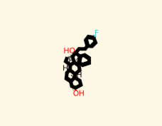 C[C@]12CC[C@H]3[C@@H](CC=C4C[C@@H](O)CC[C@@]43C)[C@@H]1CC[C@@H]2[C@](O)(CCc1ccc(F)cc1)c1ccccc1